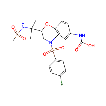 CC(C)(NS(C)(=O)=O)C1CN(S(=O)(=O)c2ccc(F)cc2)c2cc(NC(=O)O)ccc2O1